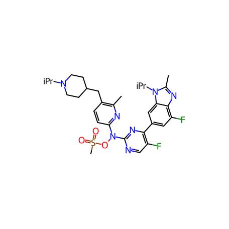 Cc1nc(N(OS(C)(=O)=O)c2ncc(F)c(-c3cc(F)c4nc(C)n(C(C)C)c4c3)n2)ccc1CC1CCN(C(C)C)CC1